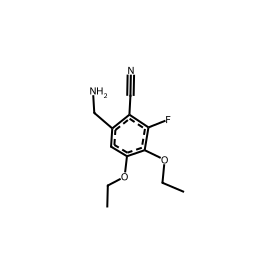 CCOc1cc(CN)c(C#N)c(F)c1OCC